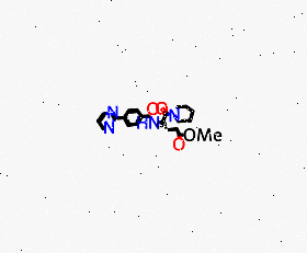 COC(=O)CC[C@H](NC(=O)c1ccc(-c2ncccn2)cc1)C(=O)N1CCCCC1